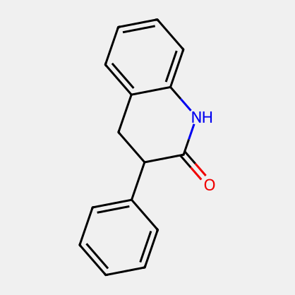 O=C1Nc2ccccc2CC1c1ccccc1